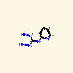 N=NC(N=N)=Nc1ccccn1